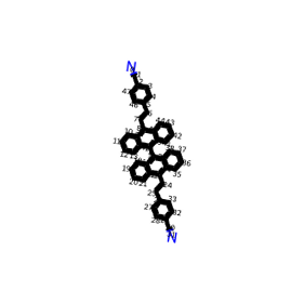 N#Cc1ccc(C=Cc2c3ccccc3c(-c3c4ccccc4c(C=Cc4ccc(C#N)cc4)c4ccccc34)c3ccccc23)cc1